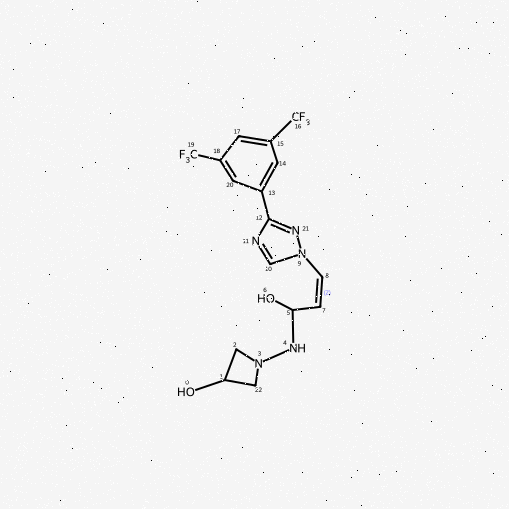 OC1CN(NC(O)/C=C\n2cnc(-c3cc(C(F)(F)F)cc(C(F)(F)F)c3)n2)C1